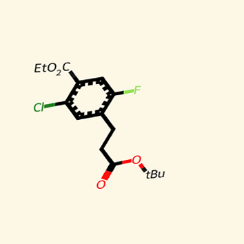 CCOC(=O)c1cc(F)c(CCC(=O)OC(C)(C)C)cc1Cl